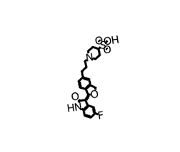 O=C1Nc2ccc(F)cc2C1=C1OCc2cc(CCCN3CCC(S(=O)(=O)O)CC3)ccc21